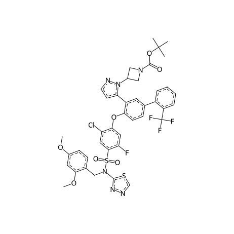 COc1ccc(CN(c2nncs2)S(=O)(=O)c2cc(Cl)c(Oc3ccc(-c4ccccc4C(F)(F)F)cc3-c3ccnn3C3CN(C(=O)OC(C)(C)C)C3)cc2F)c(OC)c1